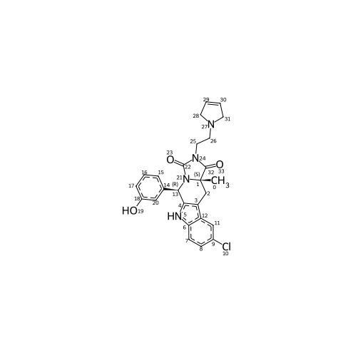 C[C@@]12Cc3c([nH]c4ccc(Cl)cc34)[C@@H](c3cccc(O)c3)N1C(=O)N(CCN1CC=CC1)C2=O